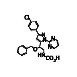 O=C(O)NCC(OCc1ccccc1)c1cc(-c2ccc(Cl)cc2)nn1-c1ncccn1